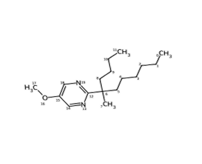 CCCCCCC(C)(CCCC)c1ncc(OC)cn1